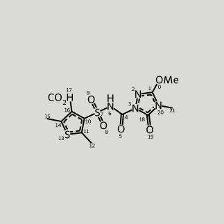 COc1nn(C(=O)NS(=O)(=O)c2c(C)sc(C)c2C(=O)O)c(=O)n1C